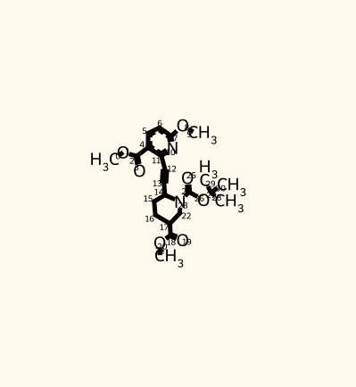 COC(=O)c1ccc(OC)nc1C#CC1CCC(C(=O)OC)CN1C(=O)OC(C)(C)C